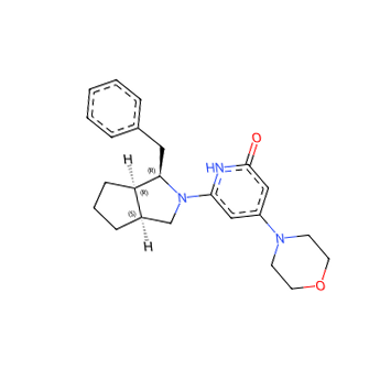 O=c1cc(N2CCOCC2)cc(N2C[C@H]3CCC[C@H]3[C@H]2Cc2ccccc2)[nH]1